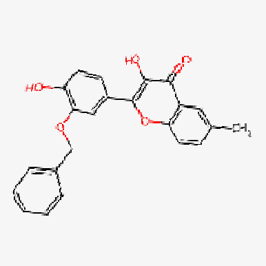 Cc1ccc2oc(-c3ccc(O)c(OCc4ccccc4)c3)c(O)c(=O)c2c1